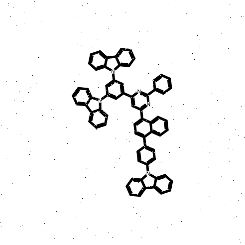 c1ccc(-c2nc(-c3cc(-n4c5ccccc5c5ccccc54)cc(-n4c5ccccc5c5ccccc54)c3)cc(-c3ccc(-c4ccc(-n5c6ccccc6c6ccccc65)cc4)c4ccccc34)n2)cc1